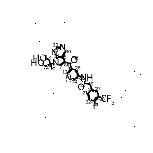 CC(CO)(CO)n1cc(C(=O)c2cncc(NC(=O)Cc3ccc(F)c(C(F)(F)F)c3)c2)c2cncnc21